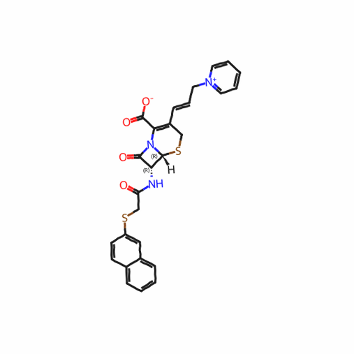 O=C(CSc1ccc2ccccc2c1)N[C@@H]1C(=O)N2C(C(=O)[O-])=C(C=CC[n+]3ccccc3)CS[C@H]12